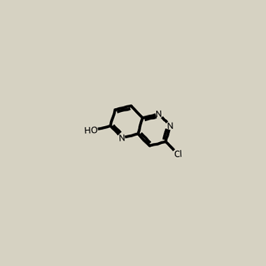 Oc1ccc2nnc(Cl)cc2n1